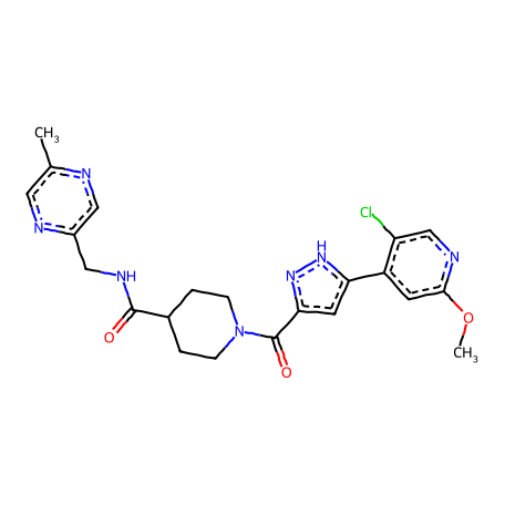 COc1cc(-c2cc(C(=O)N3CCC(C(=O)NCc4cnc(C)cn4)CC3)n[nH]2)c(Cl)cn1